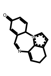 O=C1C=CC2C(=C1)C=NC1=CCCc3ccn2c31